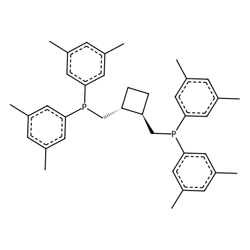 Cc1cc(C)cc(P(C[C@@H]2CC[C@H]2CP(c2cc(C)cc(C)c2)c2cc(C)cc(C)c2)c2cc(C)cc(C)c2)c1